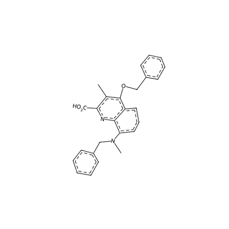 Cc1c(C(=O)O)nc2c(N(C)Cc3ccccc3)cccc2c1OCc1ccccc1